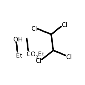 CCO.CCOC(C)=O.ClC(Cl)C(Cl)Cl